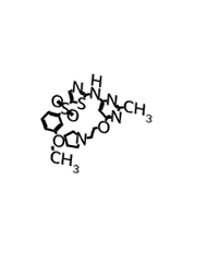 CCOc1cccc(S(=O)(=O)c2cnc(Nc3cc(OCCN4CCCC4)nc(C)n3)s2)c1